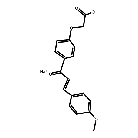 COc1ccc(C=CC(=O)c2ccc(OCC(=O)[O-])cc2)cc1.[Na+]